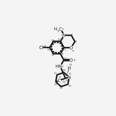 CN1CCOc2c(C(=O)N[C@@H]3CC4CCN3CC4)cc(Cl)cc21